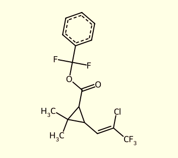 CC1(C)C(C=C(Cl)C(F)(F)F)C1C(=O)OC(F)(F)c1ccccc1